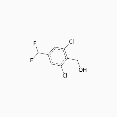 OCc1c(Cl)cc(C(F)F)cc1Cl